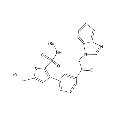 CC(C)Cc1cc(-c2cccc(C(=O)Cn3cnc4ccccc43)c2)c(S(=O)(=O)NC(C)(C)C)s1